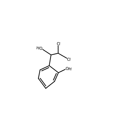 Oc1ccccc1C(O)C(Cl)Cl